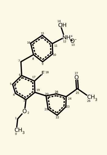 CCOc1ccc(Cc2ccc([NH+]([O-])O)cc2)c(F)c1-c1cccc(C(C)=O)c1